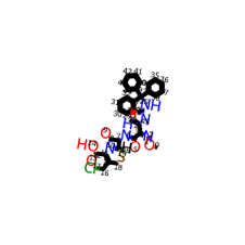 CO/N=C(\C(=O)NC1C(=O)N2C(C(=O)O)=C(CCl)CS[C@@H]12)c1csc(NC(c2ccccc2)(c2ccccc2)c2ccccc2)n1